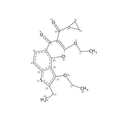 CCOC=C(C(=O)c1ccc2sc(CC)c(OCC)c2c1Cl)C(=O)C1CC1